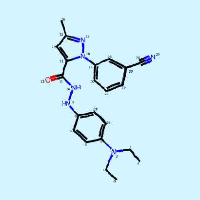 CCN(CC)c1ccc(NNC(=O)c2cc(C)nn2-c2cccc(C#N)c2)cc1